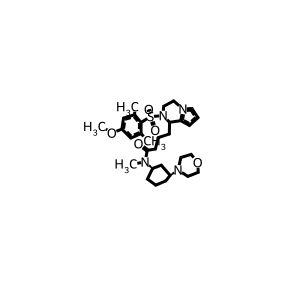 COc1cc(C)c(S(=O)(=O)N2CCn3cccc3C2CCCC(=O)N(C)[C@@H]2CCC[C@H](N3CCOCC3)C2)c(C)c1